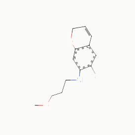 COCCCNc1cc2c(cc1Cl)C=CCO2